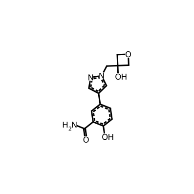 NC(=O)c1cc(-c2cnn(CC3(O)COC3)c2)ccc1O